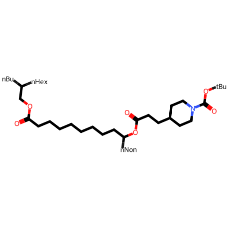 CCCCCCCCCC(CCCCCCCCC(=O)OCC(CCCC)CCCCCC)OC(=O)CCC1CCN(C(=O)OC(C)(C)C)CC1